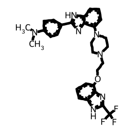 CN(C)c1ccc(-c2nc3c(N4CCN(CCOc5cccc6[nH]c(C(F)(F)F)nc56)CC4)cccc3[nH]2)cc1